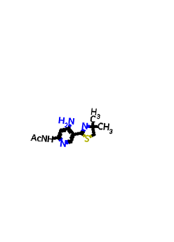 CC(=O)Nc1cc(N)c(C2=NC(C)(C)CS2)cn1